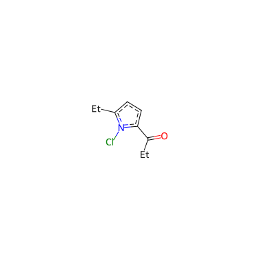 CCC(=O)c1ccc(CC)n1Cl